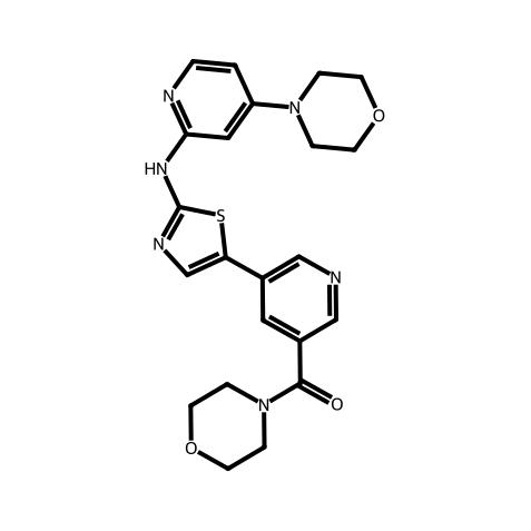 O=C(c1cncc(-c2cnc(Nc3cc(N4CCOCC4)ccn3)s2)c1)N1CCOCC1